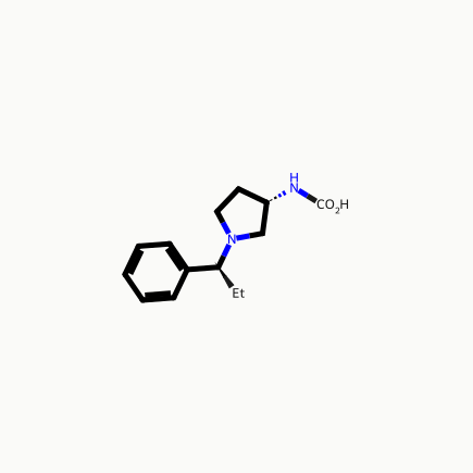 CC[C@@H](c1ccccc1)N1CC[C@H](NC(=O)O)C1